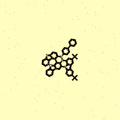 CC(C)(C)c1ccc2c(c1)c1cc(C(C)(C)C)cc3c1n2-c1cc2c(oc4ccccc42)c2c1B3N(c1ccc(-c3ccccc3)cc1)c1ccc3sc4ccccc4c3c1-2